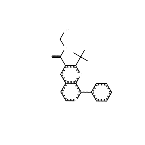 CCOC(=O)c1cc2ccnc(-c3ccccc3)c2nc1C(F)(F)F